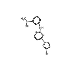 CC(O)c1cccc(Nc2nccc(-c3ccc(Br)s3)n2)c1